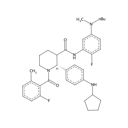 CCCCN(C)c1ccc(F)c(NC(=O)C2CCCN(C(=O)c3c(C)cccc3F)[C@H]2c2ccc(NC3CCCC3)cc2)c1